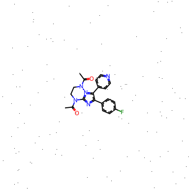 CC(=O)N1CCN(C(C)=O)n2c1nc(-c1ccc(F)cc1)c2-c1ccncc1